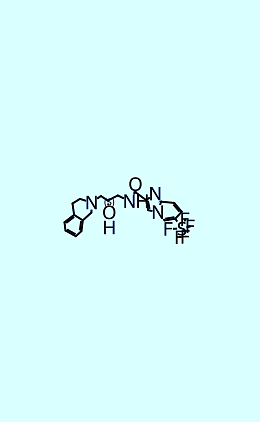 O=C(NC[C@H](O)CN1CCc2ccccc2C1)c1cn2cc(S(F)(F)(F)(F)F)ccc2n1